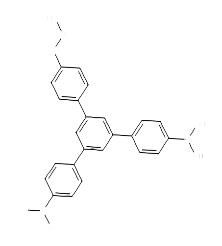 OBOc1ccc(-c2cc(-c3ccc(B(O)O)cc3)cc(-c3ccc(B(O)O)cc3)c2)cc1